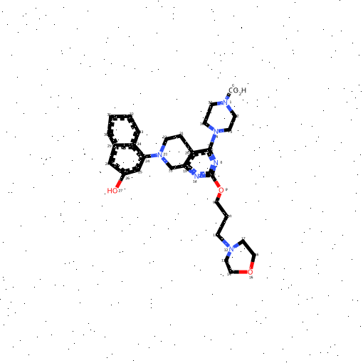 O=C(O)N1CCN(c2nc(OCCCN3CCOCC3)nc3c2CCN(c2cc(O)cc4ccccc24)C3)CC1